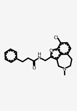 CN1CCc2ccc(Cl)c3oc(CNC(=O)CCc4ccccc4)c(c23)C1